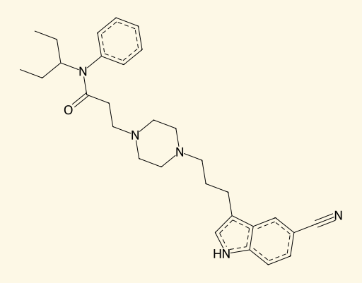 CCC(CC)N(C(=O)CCN1CCN(CCCc2c[nH]c3ccc(C#N)cc23)CC1)c1ccccc1